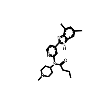 CCCC(=O)N(c1cc(-c2nc3c(C)cc(C)cc3[nH]2)ccn1)C1CCN(C)CC1